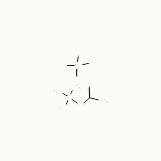 CC(C#N)O[B-](C#N)(C#N)C#N.CC[N+](C)(CC)CC